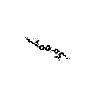 C=CC(=O)OC(CCCCCCCC)OC1=CC=C(C2=CC=C(OC(=O)c3ccc(OC(CCCC)C4CC(=C)C(=O)O4)cc3)CC2)CC1